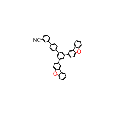 N#Cc1cccc(-c2ccc(-c3cc(-c4ccc5oc6ccccc6c5c4)cc(-c4ccc5oc6ccccc6c5c4)c3)cc2)c1